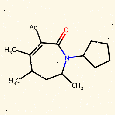 CC(=O)C1=C(C)C(C)CC(C)N(C2CCCC2)C1=O